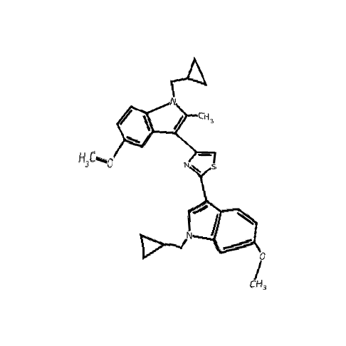 COc1ccc2c(c1)c(-c1csc(-c3cn(CC4CC4)c4cc(OC)ccc34)n1)c(C)n2CC1CC1